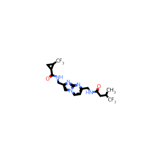 CC(CC(=O)NCc1ccn2cc(CNC(=O)C3CC3C(F)(F)F)nc2n1)C(F)(F)F